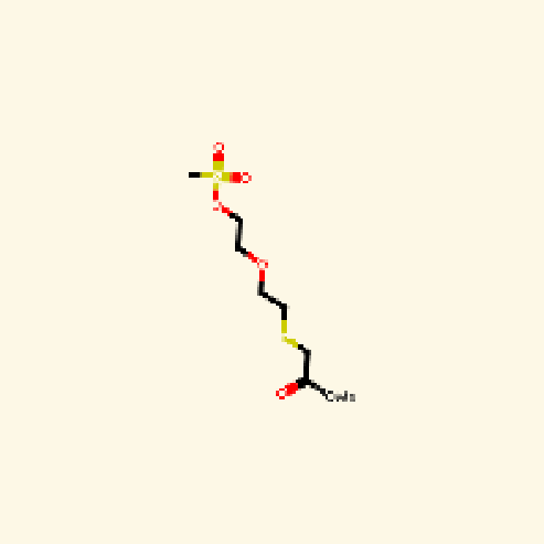 COC(=O)CSCCOCCOS(C)(=O)=O